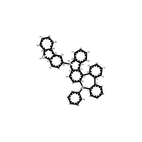 c1ccc(N2c3ccccc3-c3ccccc3-c3c2ccc2c3c3ccccc3n2-c2ccc3oc4ccccc4c3c2)cc1